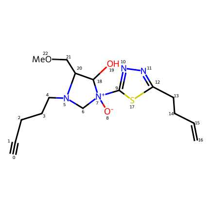 C#CCCCN1C[N+]([O-])(c2nnc(CCC=C)s2)C(O)C1COC